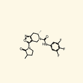 CC1CCN(c2onc3c2CN(C(=O)Nc2cc(F)c(F)c(F)c2)[C@@H](C)C3)C1=O